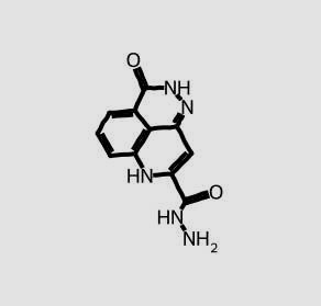 NNC(=O)C1=Cc2n[nH]c(=O)c3cccc(c23)N1